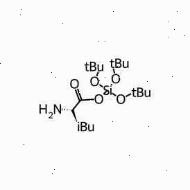 CC[C@H](C)[C@H](N)C(=O)O[Si](OC(C)(C)C)(OC(C)(C)C)OC(C)(C)C